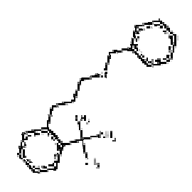 CC(C)(N)c1ccccc1CCCOCc1ccccc1